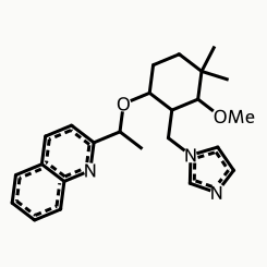 COC1C(Cn2ccnc2)C(OC(C)c2ccc3ccccc3n2)CCC1(C)C